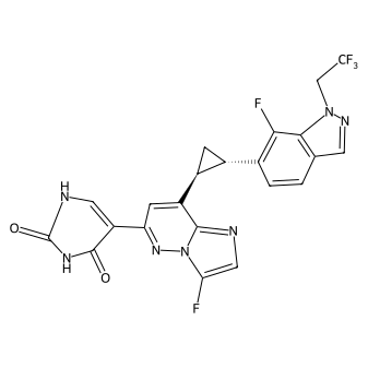 O=c1[nH]cc(-c2cc([C@H]3C[C@@H]3c3ccc4cnn(CC(F)(F)F)c4c3F)c3ncc(F)n3n2)c(=O)[nH]1